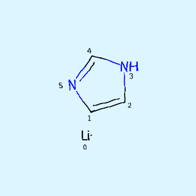 [Li].c1c[nH]cn1